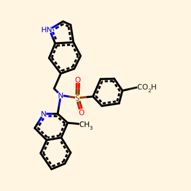 Cc1c(N(Cc2ccc3cc[nH]c3c2)S(=O)(=O)c2ccc(C(=O)O)cc2)ncc2ccccc12